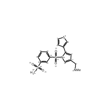 CNCc1cc(-c2ccsc2)n(S(=O)(=O)c2cccc(S(C)(=O)=O)c2)c1